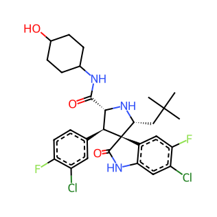 CC(C)(C)C[C@H]1N[C@@H](C(=O)NC2CCC(O)CC2)[C@H](c2ccc(F)c(Cl)c2)[C@@]12C(=O)Nc1cc(Cl)c(F)cc12